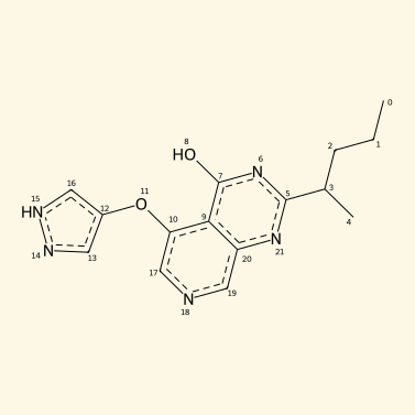 CCCC(C)c1nc(O)c2c(Oc3cn[nH]c3)cncc2n1